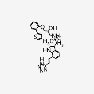 CC(C)(Cc1c[nH]c2c(CCc3nnn[nH]3)cccc12)NC[C@H](O)COc1ccccc1-c1cccs1